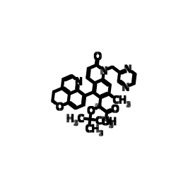 Cc1cc2c(ccc(=O)n2Cc2cnccn2)c(-c2ccc3c4c(ccnc24)CCO3)c1[C@H](OC(C)(C)C)C(=O)O